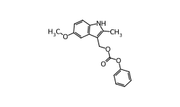 COc1ccc2[nH]c(C)c(COC(=O)Oc3ccccc3)c2c1